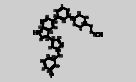 N#CCCN1CCN(c2cccc(-c3cnc4[nH]cc(-c5cnn(Cc6cccc(F)c6)c5)c4c3)c2)CC1